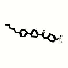 CCCCCc1ccc(-c2ccc(C(=O)Cc3ccc([N+](=O)[O-])cc3)cc2)cc1